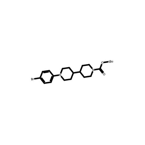 CC(C)(C)OC(=O)N1CCC(C2CCN(c3ccc(Br)cc3)CC2)CC1